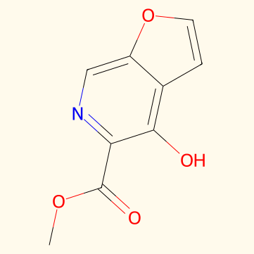 COC(=O)c1ncc2occc2c1O